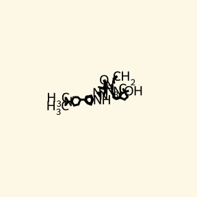 C=CCn1c(=O)c2cnc(Nc3ccc(C4CCC(N(C)C)CC4)cc3)nc2n1-c1ccc2c(n1)C(C)(O)CC2